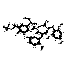 CCC(NC(=O)N1CC(=O)N(Cc2c(OC)cc(OC)cc2OC)CC(Cc2cc(Cl)ccc2OC)C1=O)c1ccc(O)c(C(=O)OC(C)(C)C)c1